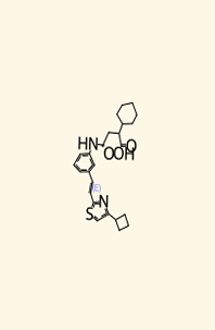 O=C(CC(C(=O)O)C1CCCCC1)Nc1cccc(/C=C/c2nc(C3CCC3)cs2)c1